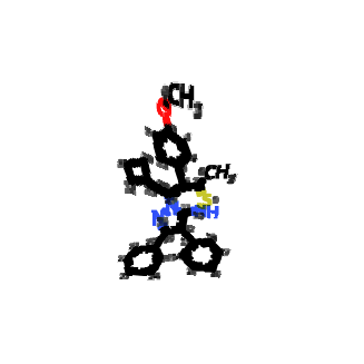 COc1ccc(-c2c(C)s[nH]c3c(-c4ccccc4)c(-c4ccccc4)nn3c2=C2CCC2)cc1